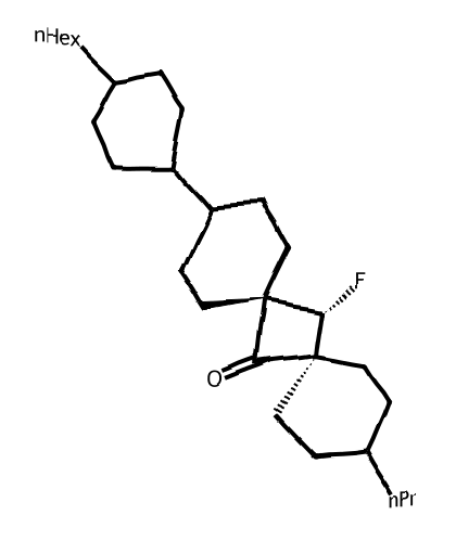 CCCCCCC1CCC(C2CC[C@]3(CC2)C(=O)[C@@]2(CCC(CCC)CC2)[C@H]3F)CC1